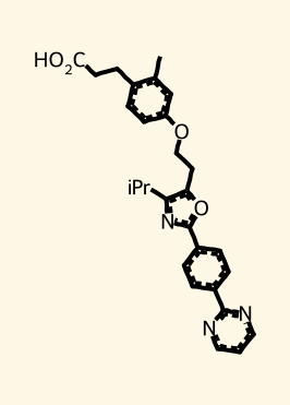 Cc1cc(OCCc2oc(-c3ccc(-c4ncccn4)cc3)nc2C(C)C)ccc1CCC(=O)O